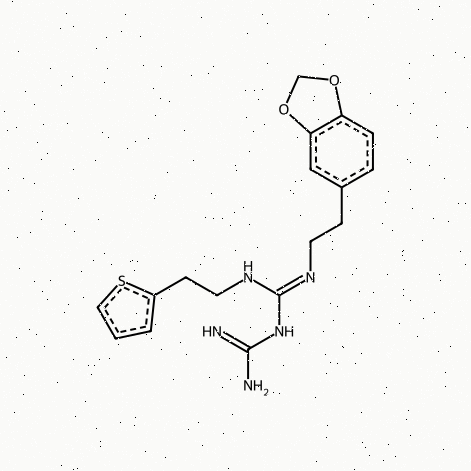 N=C(N)N/C(=N/CCc1ccc2c(c1)OCO2)NCCc1cccs1